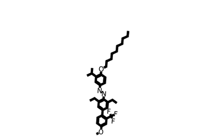 CCCCCCCCCCOc1ccc(/N=N/c2c(CC)cc(-c3ccc(OC)cc3C(F)(F)F)cc2CC)cc1C(C)C